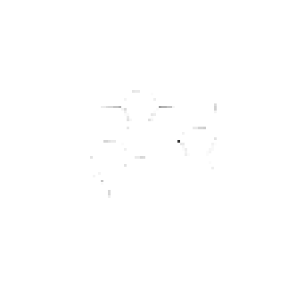 CCc1ccc(Oc2ccc(Cl)cc2F)cc1C1=C(O)CC(C)(C)CC1=O